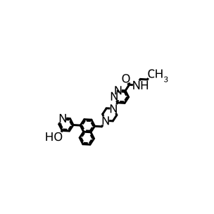 CCCNC(=O)c1ccc(N2CCN(Cc3ccc(-c4cncc(O)c4)c4ccccc34)CC2)nn1